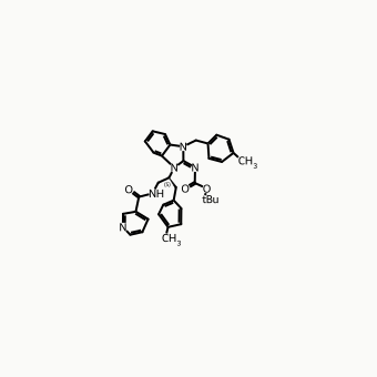 Cc1ccc(C[C@@H](CNC(=O)c2cccnc2)n2c(=NC(=O)OC(C)(C)C)n(Cc3ccc(C)cc3)c3ccccc32)cc1